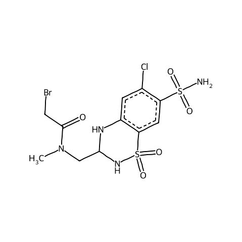 CN(CC1Nc2cc(Cl)c(S(N)(=O)=O)cc2S(=O)(=O)N1)C(=O)CBr